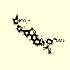 COC[C@H]1C[C@@H](c2nc3ccc4cc5c(cc4c3[nH]2)OCc2cc(-c3cnc([C@@H]4CCC(C)N4C(=O)O)[nH]3)ccc2-5)N(C(=O)OC(C)(C)C)C1